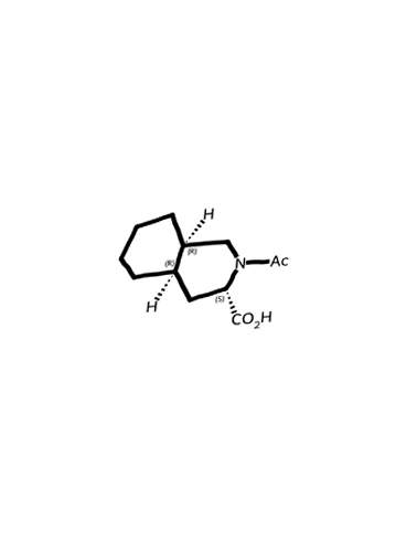 CC(=O)N1C[C@@H]2CCCC[C@@H]2C[C@H]1C(=O)O